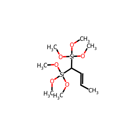 CC=CC([Si](OC)(OC)OC)[Si](OC)(OC)OC